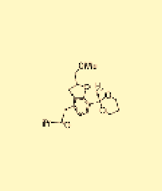 COCC1Cc2c(CC(=O)C(C)C)ccc(C3(C)OCCCO3)c2O1